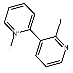 Ic1ncccc1-c1cccc[n+]1I